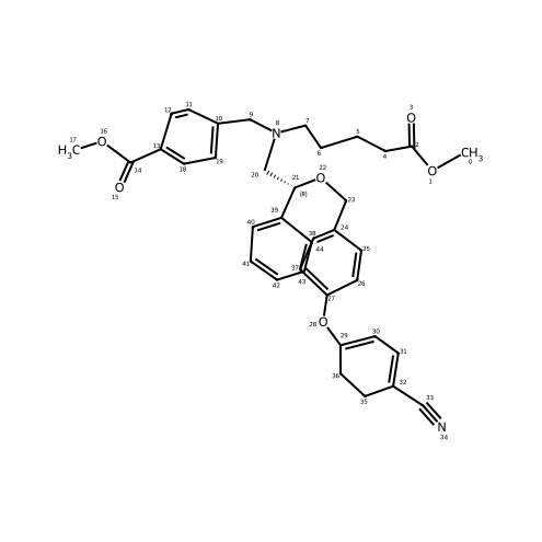 COC(=O)CCCCN(Cc1ccc(C(=O)OC)cc1)C[C@H](OCc1ccc(OC2=CC=C(C#N)CC2)cc1)c1ccccc1